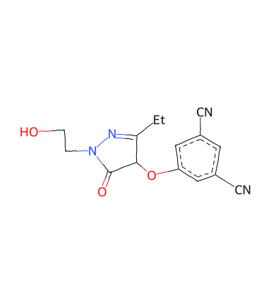 CCC1=NN(CCO)C(=O)C1Oc1cc(C#N)cc(C#N)c1